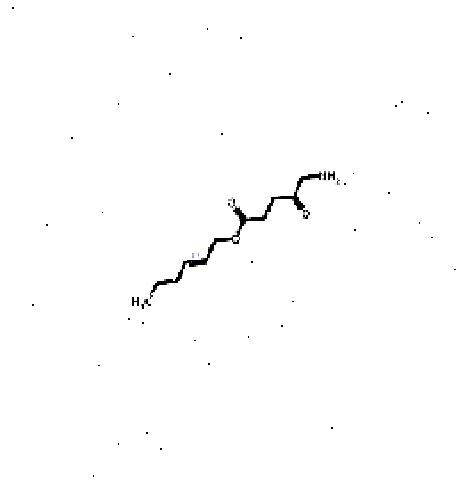 CCC/C=C/COC(=O)CCC(=O)CN